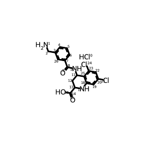 Cl.NCc1cccc(C(=O)NC2CC(C(=O)O)Nc3cc(Cl)cc(Cl)c32)c1